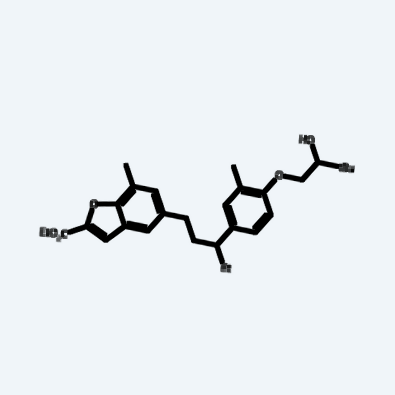 CCOC(=O)c1cc2cc(CCC(CC)c3ccc(OCC(O)C(C)(C)C)c(C)c3)cc(C)c2o1